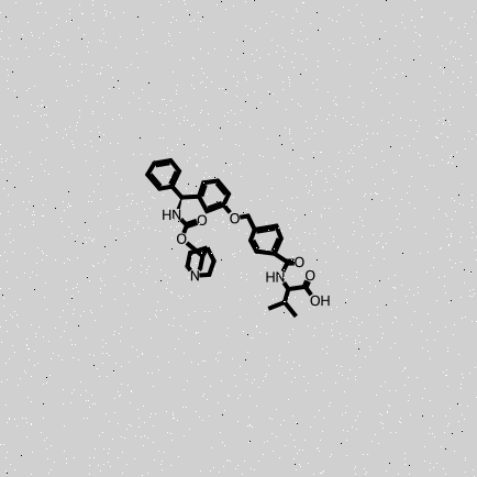 CC(C)C(NC(=O)c1ccc(COc2cccc([C@@H](NC(=O)OC3CN4CCC3CC4)c3ccccc3)c2)cc1)C(=O)O